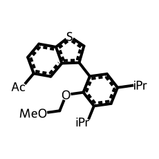 COCOc1c(-c2csc3ccc(C(C)=O)cc23)cc(C(C)C)cc1C(C)C